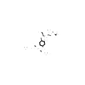 CCC(=O)OCCN[C@@H](Cc1ccc(OC(=O)OC)c(OC(=O)OC)c1)C(=O)OC